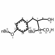 CCCCOc1ccc(CC(CO)N(C(=O)O)C(C)(C)C)cc1